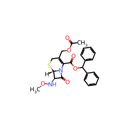 CON[C@@H]1C(=O)N2C(C(=O)OC(c3ccccc3)c3ccccc3)=C(COC(C)=O)CS[C@@H]12